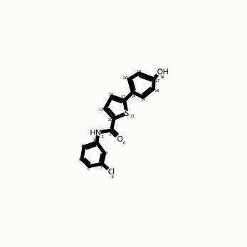 O=C(Nc1cccc(Cl)c1)c1ccc(-c2ccc(O)cc2)s1